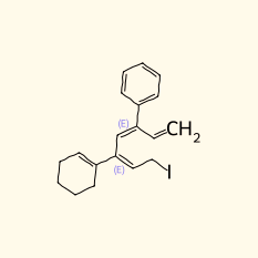 C=C/C(=C\C(=C/CI)C1=CCCCC1)c1ccccc1